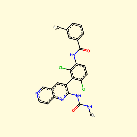 CC(C)(C)NC(=O)Nc1nc2ccncc2cc1-c1c(Cl)ccc(NC(=O)c2cccc(C(F)(F)F)c2)c1Cl